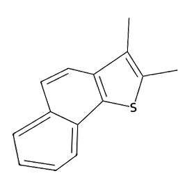 Cc1sc2c(ccc3ccccc32)c1C